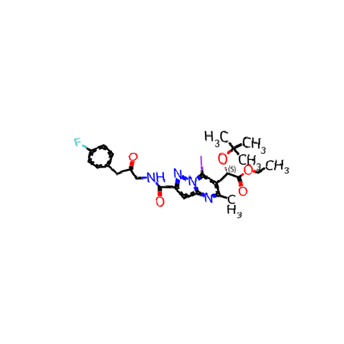 CCOC(=O)[C@@H](OC(C)(C)C)c1c(C)nc2cc(C(=O)NCC(=O)Cc3ccc(F)cc3)nn2c1I